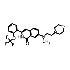 CN(CCN1CCOCC1)c1ccc2cc(-c3ccccc3OC(F)(F)F)[nH]c(=O)c2c1